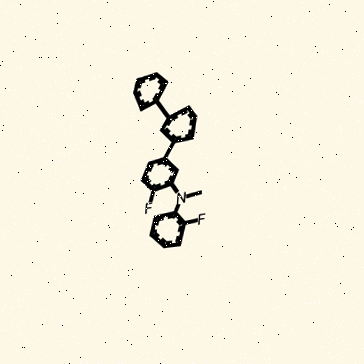 CN(c1ccccc1F)c1cc(-c2cccc(-c3ccccc3)c2)ccc1F